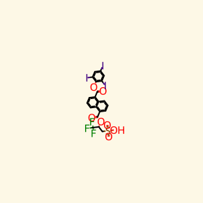 O=C(Oc1c(I)cc(I)cc1I)c1cccc2c(C(=O)OC(CS(=O)(=O)O)C(F)(F)F)cccc12